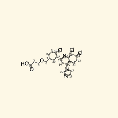 O=C(O)CCOCc1ccc(Cl)c(-c2cc(-n3ccnc3)c3ccc(Cl)c(Cl)c3n2)c1